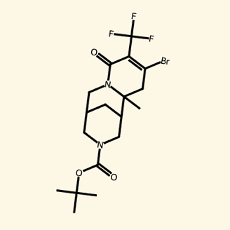 CC(C)(C)OC(=O)N1CC2CC(C1)C1(C)CC(Br)=C(C(F)(F)F)C(=O)N1C2